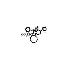 CCOC(=O)c1ccccc1NC(=O)C1(C2CCCCCCCC2)CCC(n2ccnc2)NN1